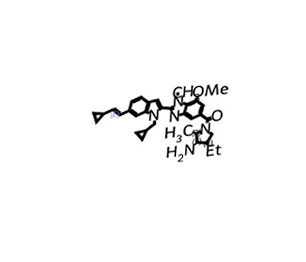 CC[C@@H]1CN(C(=O)c2cc(OC)c3c(c2)nc(-c2cc4ccc(/C=C/C5CC5)cc4n2CC2CC2)n3C)[C@H](C)[C@H]1N